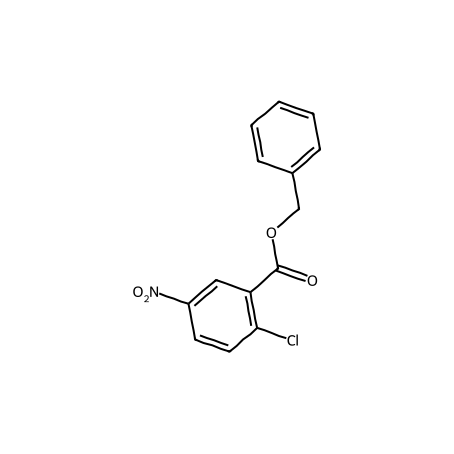 O=C(OCc1ccccc1)c1cc([N+](=O)[O-])ccc1Cl